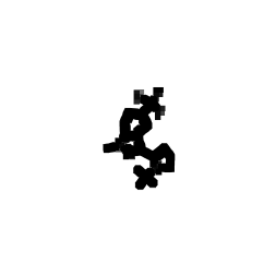 Cn1nc(C2=CCCN2C(C)(C)C)c2cc(C(F)(F)F)ccc21